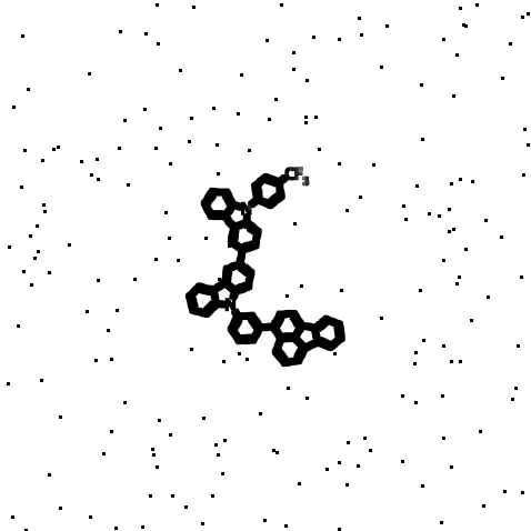 FC(F)(F)c1ccc(-n2c3ccccc3c3cc(-c4ccc5c(c4)c4ccccc4n5-c4cccc(-c5ccc6c7c(cccc57)-c5ccccc5-6)c4)ccc32)cc1